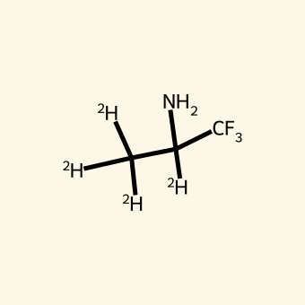 [2H]C([2H])([2H])C([2H])(N)C(F)(F)F